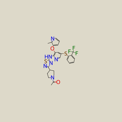 CC(=O)N1CCC(c2nsc(Nc3ncc(Sc4ccccc4C(F)(F)F)cc3Oc3cccnc3C)n2)CC1